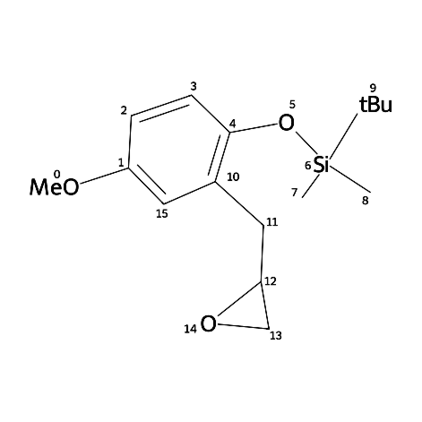 COc1ccc(O[Si](C)(C)C(C)(C)C)c(CC2CO2)c1